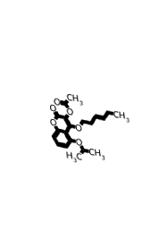 CCC=CCCOc1c(OC(C)=O)c(=O)oc2cccc(OC(C)C)c12